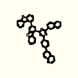 c1ccc2cc(-c3ccc(-c4nc(-c5ccc6ccccc6c5)nc(-c5cc(-c6cccc7sc8ccccc8c67)cc6oc7ccccc7c56)n4)cc3)ccc2c1